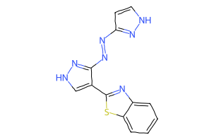 c1ccc2sc(-c3c[nH]nc3N=Nc3cc[nH]n3)nc2c1